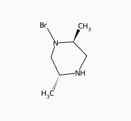 C[C@@H]1CN(Br)[C@@H](C)CN1